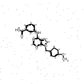 COC1=CC=C(Cn2nnc3c(Nc4cccc(C(=O)O)c4)ncnc32)CC1